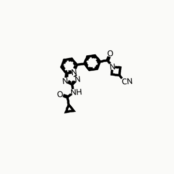 N#CC1CN(C(=O)c2ccc(-c3cccc4nc(NC(=O)C5CC5)nn34)cc2)C1